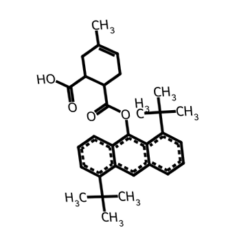 CC1=CCC(C(=O)Oc2c3cccc(C(C)(C)C)c3cc3cccc(C(C)(C)C)c23)C(C(=O)O)C1